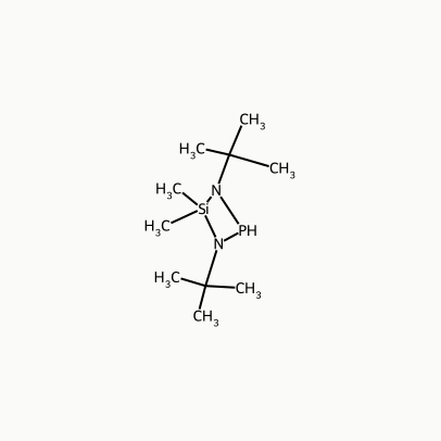 CC(C)(C)N1PN(C(C)(C)C)[Si]1(C)C